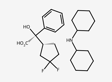 C1CCC(NC2CCCCC2)CC1.O=C(O)[C@](O)(c1ccccc1)[C@@H]1CCC(F)(F)C1